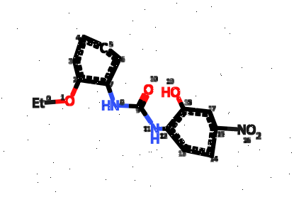 CCOc1ccccc1NC(=O)Nc1ccc([N+](=O)[O-])cc1O